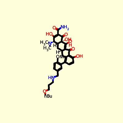 CCCCOCCCNCc1ccc(OC)c(-c2ccc(O)c3c2C[C@H]2C[C@H]4[C@@H](N(C)C)C(O)=C(C(N)=O)C(=O)[C@@]4(O)C(O)=C2C3=O)c1